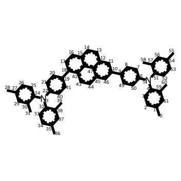 Cc1ccc(N(c2ccc(-c3cc4ccc5ccc(-c6ccc(N(c7ccc(C)cc7C)c7ccc(C)cc7C)cc6)c6ccc(c3)c4c56)cc2)c2ccc(C)cc2C)c(C)c1